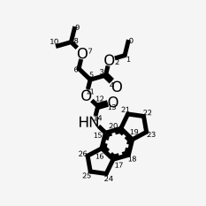 CCOC(=O)C(COC(C)C)OC(=O)Nc1c2c(cc3c1CCC3)CCC2